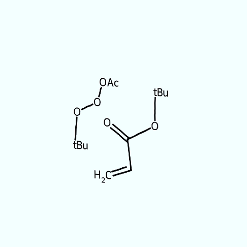 C=CC(=O)OC(C)(C)C.CC(=O)OOOC(C)(C)C